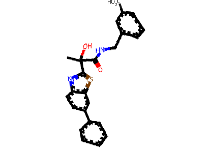 CC(O)(C(=O)NCc1cccc(C(=O)O)c1)c1nc2ccc(-c3ccccc3)cc2s1